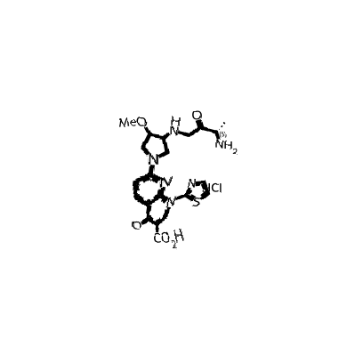 COC1CN(c2ccc3c(=O)c(C(=O)O)cn(-c4nccs4)c3n2)CC1NCC(=O)[C@H](C)N.Cl